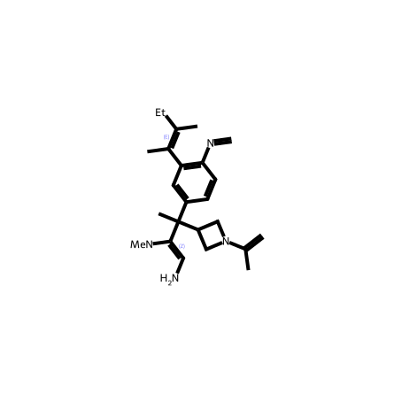 C=Nc1ccc(C(C)(/C(=C/N)NC)C2CN(C(=C)C)C2)cc1/C(C)=C(\C)CC